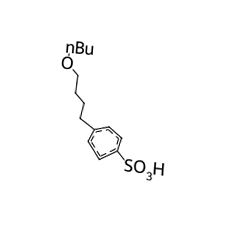 CCCCOCCCCc1ccc(S(=O)(=O)O)cc1